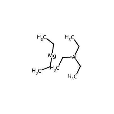 C[CH2][Al]([CH2]C)[CH2]C.C[CH2][Mg][CH2]C